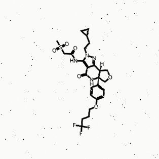 CS(=O)(=O)CC(=O)Nc1c2c(nn1CCC1CC1)[C@@H]1COC[C@]1(c1ccc(OCCCC(F)(F)F)cc1)NC2=O